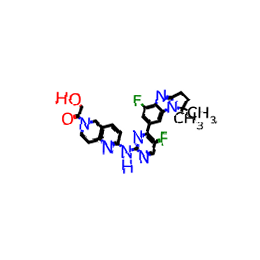 CC1(C)CCc2nc3c(F)cc(-c4nc(Nc5ccc6c(n5)CCN(C(=O)CO)C6)ncc4F)cc3n21